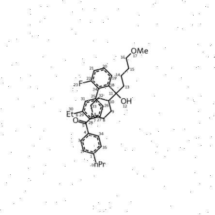 CCCc1ccc(C(=O)N2CCC(C(O)(CCCCOC)c3cccc(F)c3-c3cccc(CC)c3)CC2)cc1